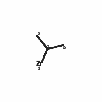 C[CH](C)[Zr]